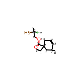 CCC1(C(=O)OCC(C)(F)S)CC=CC(C)C1